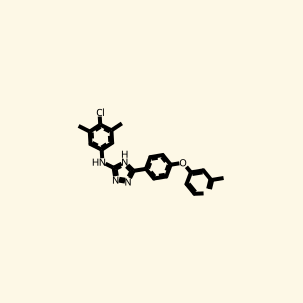 C=C(C)/C=C(\C=C/C)Oc1ccc(-c2nnc(Nc3cc(C)c(Cl)c(C)c3)[nH]2)cc1